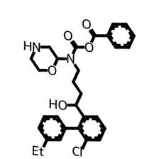 CCc1cccc(-c2c(Cl)cccc2C(O)CCCN(C(=O)OC(=O)c2ccccc2)C2CNCCO2)c1